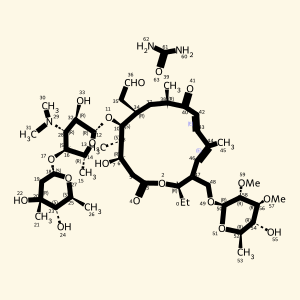 CC[C@H]1OC(=O)C[C@@H](O)[C@H](C)[C@@H](O[C@@H]2O[C@H](C)[C@@H](O[C@H]3C[C@@](C)(O)[C@@H](O)[C@H](C)O3)[C@H](N(C)C)[C@H]2O)[C@@H](CC=O)C[C@@H](C)C(=O)/C=C/C(C)=C/C1CO[C@@H]1O[C@H](C)[C@@H](O)[C@@H](OC)[C@H]1OC.NC(N)=O